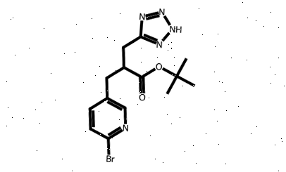 CC(C)(C)OC(=O)C(Cc1ccc(Br)nc1)Cc1nn[nH]n1